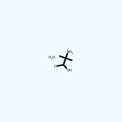 CC(C)(N)C(O)Cl.O